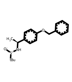 C[C@H](N[S+]([O-])C(C)(C)C)c1ccc(OCc2ccccc2)cc1